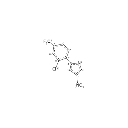 O=[N+]([O-])c1cnn(-c2ccc(C(F)(F)F)cc2Cl)c1